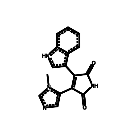 Cn1cncc1C1=C(c2c[nH]c3ccccc23)C(=O)NC1=O